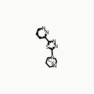 c1cnnc(-c2nnc(N3CCN4CCC3CC4)s2)c1